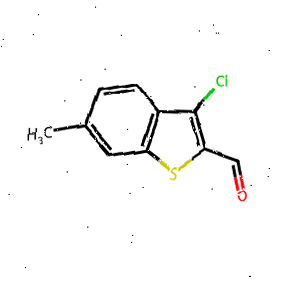 Cc1ccc2c(Cl)c(C=O)sc2c1